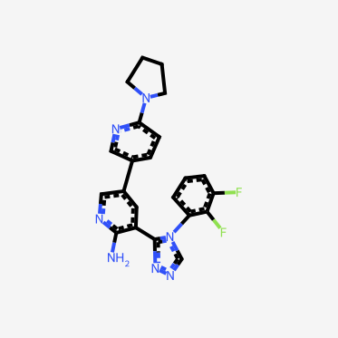 Nc1ncc(-c2ccc(N3CCCC3)nc2)cc1-c1nncn1-c1cccc(F)c1F